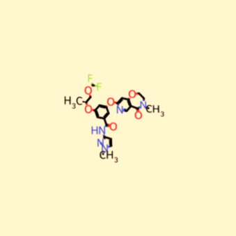 C[C@@H](COC(F)F)Oc1cc(Oc2cc3c(cn2)C(=O)N(C)CCO3)cc(C(=O)Nc2ccn(C)n2)c1